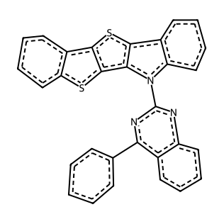 c1ccc(-c2nc(-n3c4ccccc4c4sc5c6ccccc6sc5c43)nc3ccccc23)cc1